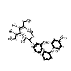 CCOC(C)OCC.O=Cc1ccccc1.O=Cc1ccccc1.O=Cc1ccccc1.OC[C@@H](O)[C@@H](O)[C@H](O)[C@@H](O)CO